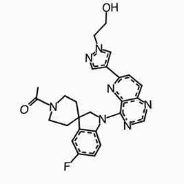 CC(=O)N1CCC2(CC1)CN(c1ncnc3ccc(-c4cnn(CCO)c4)nc13)c1ccc(F)cc12